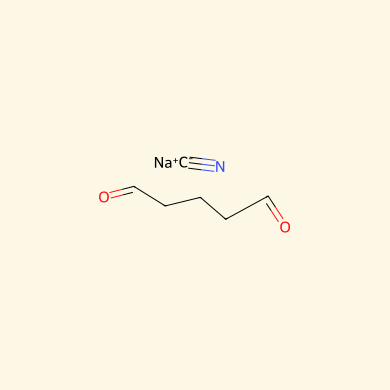 O=CCCCC=O.[C-]#N.[Na+]